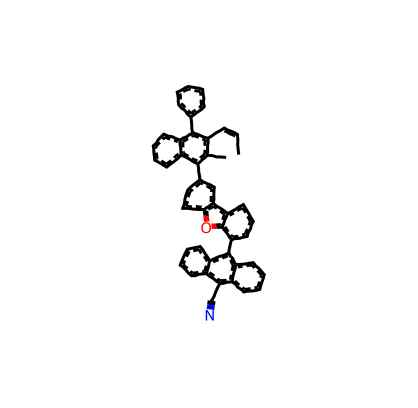 C/C=C\c1c(C)c(-c2ccc3oc4c(-c5c6ccccc6c(C#N)c6ccccc56)cccc4c3c2)c2ccccc2c1-c1ccccc1